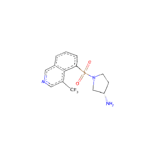 N[C@H]1CCN(S(=O)(=O)c2cccc3cncc(C(F)(F)F)c23)C1